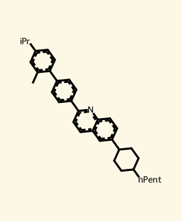 CCCCCC1CCC(c2ccc3nc(-c4ccc(-c5ccc(C(C)C)cc5C)cc4)ccc3c2)CC1